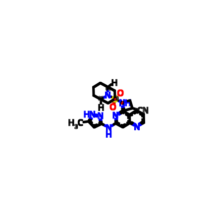 Cc1cc(Nc2cc3ncccc3c(N[C@H]3C[C@H]4CCC[C@@H](C3)N4S(=O)(=O)N3CC(C#N)C3)n2)n[nH]1